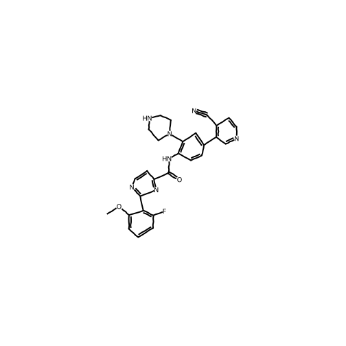 COc1cccc(F)c1-c1nccc(C(=O)Nc2ccc(-c3cnccc3C#N)cc2N2CCNCC2)n1